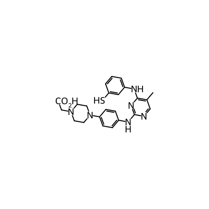 Cc1cnc(Nc2ccc(N3CCN(CC(=O)O)CC3)cc2)nc1Nc1cccc(S)c1